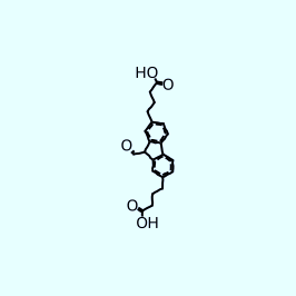 O=CC1c2cc(CCCC(=O)O)ccc2-c2ccc(CCCC(=O)O)cc21